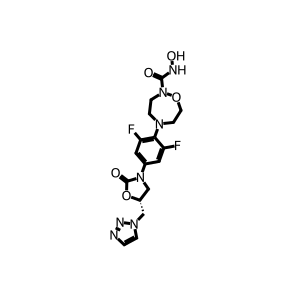 O=C(NO)N1CCN(c2c(F)cc(N3C[C@H](Cn4ccnn4)OC3=O)cc2F)CCO1